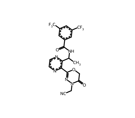 CC(NC(=O)c1cc(C(F)(F)F)cc(C(F)(F)F)c1)c1nccnc1C1=NN(CC#N)C(=O)CO1